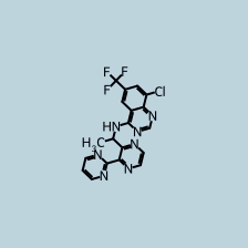 CC(Nc1ncnc2c(Cl)cc(C(F)(F)F)cc12)c1nccnc1-c1ncccn1